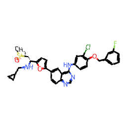 C[S+]([O-])C[C@@H](NCC1CC1)c1ccc(-c2ccc3ncnc(Nc4ccc(OCc5cccc(F)c5)c(Cl)c4)c3c2)o1